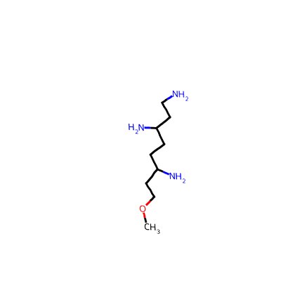 COCCC(N)CCC(N)CCN